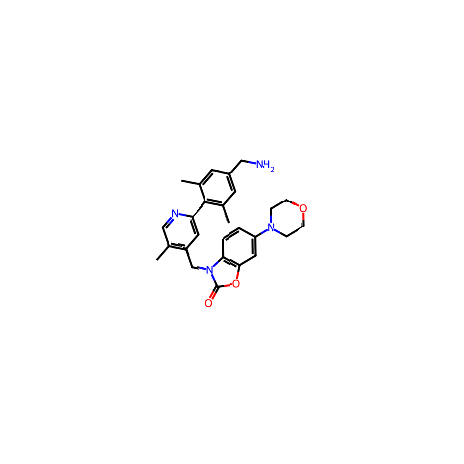 Cc1cnc(-c2c(C)cc(CN)cc2C)cc1Cn1c(=O)oc2cc(N3CCOCC3)ccc21